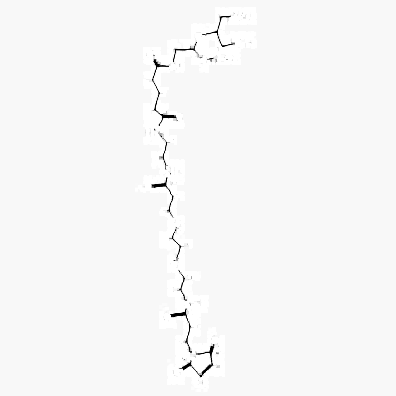 CC(C)(C)CC(CO)OC(COC(=O)CCCC(=O)NCCNC(=O)CCOCCOCCNC(=O)CCN1C(=O)C=CC1=O)OC(C)(C)C